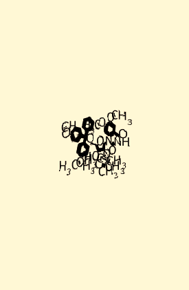 COc1ccc(C(OC[C@H]2O[C@@H](n3c(=O)[nH]c(=O)c4cc(OC)c(OC)cc43)[C@@H](O[Si](C)(C)C(C)(C)C)[C@@H]2O)(c2ccccc2)c2ccc(OC)cc2)cc1